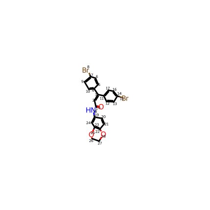 O=C(C=C(c1ccc(Br)cc1)c1ccc(Br)cc1)Nc1ccc2c(c1)OCCO2